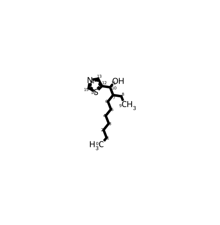 CCCCCCCC(CC)C(O)c1cncs1